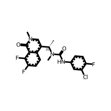 C[C@@H](c1cn(C)c(=O)c2c(F)c(F)ccc12)N(C)C(=O)Nc1ccc(F)c(Cl)c1